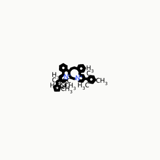 C=C1C[n+]2ccc(-c3c(C)cc(C)cc3C)cc2-c2ccccc2CCC2c3ccccc3-c3cc(C(C)C4CCCC4)c([Si](C)(C)C)c[n+]3C12